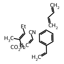 C=CC#N.C=CC=C.C=Cc1ccccc1.CCC=C(C)C(=O)O